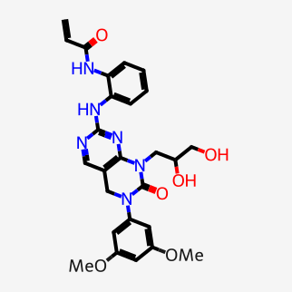 C=CC(=O)Nc1ccccc1Nc1ncc2c(n1)N(CC(O)CO)C(=O)N(c1cc(OC)cc(OC)c1)C2